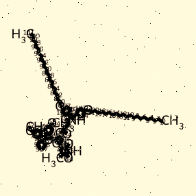 CCCCCCCCCCCCCCCCCCCCCCOc1ccc(C(NC(=O)CCC(=O)O[C@@H]2C[C@H](n3cc(C)c(=O)[nH]c3=O)O[C@@H]2COC(c2ccccc2)(c2ccc(OC)cc2)c2ccc(OC)cc2)c2ccc(OCCCCCCCCCCCCCCCCCCCCCC)cc2)cc1